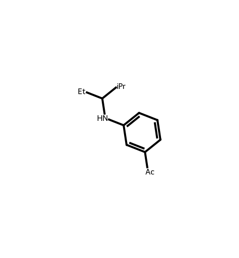 CCC(Nc1cccc(C(C)=O)c1)C(C)C